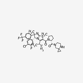 CC(C)C1=C(C(=O)N2[C@H](C)CC[C@@H]2C(=O)N2CCNC3(CC3)C2)SC2=N[C@@](C)(c3ccc(C(F)(F)F)cc3)[C@@H](c3ccc(Cl)c(F)c3)N21